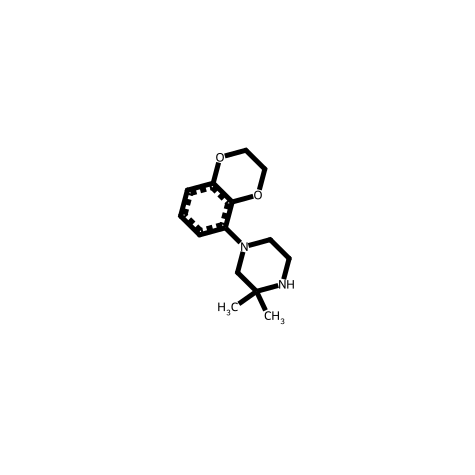 CC1(C)CN(c2cccc3c2OCCO3)CCN1